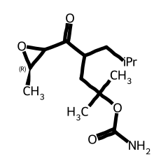 CC(C)CC(CC(C)(C)OC(N)=O)C(=O)C1O[C@@H]1C